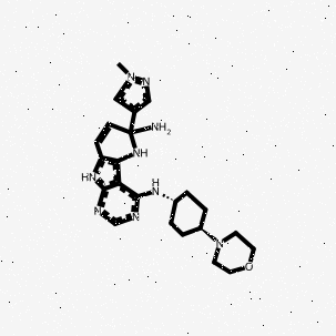 Cn1cc(C2(N)C=Cc3[nH]c4ncnc(N[C@H]5CC[C@H](N6CCOCC6)CC5)c4c3N2)cn1